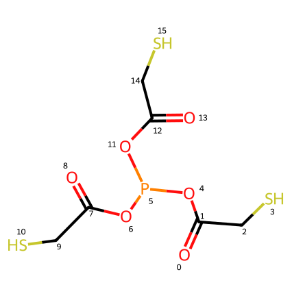 O=C(CS)OP(OC(=O)CS)OC(=O)CS